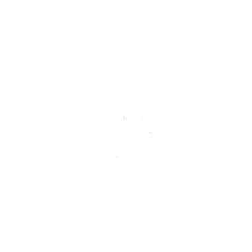 CC[N](CC)[V]([C]1=CC=CC1)[N](CC)CC.Cl